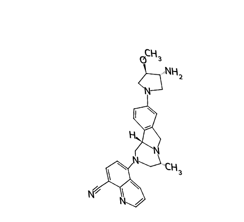 CO[C@@H]1CN(c2ccc3c(c2)CN2[C@H](C)CN(c4ccc(C#N)c5ncccc45)C[C@H]32)C[C@H]1N